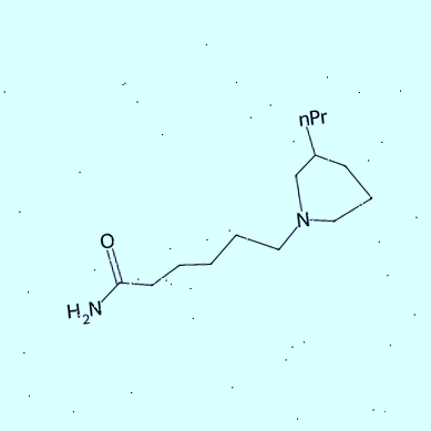 CCCC1CCCN(CCCCCC(N)=O)C1